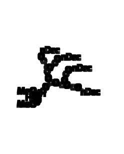 CCCCCCCCCCCCOc1ccc(CCc2ccc(COc3cc(COc4ccc(CC(NC(=O)OC)C(=O)NC(C)C(=O)OC)cc4)cc(OCc4ccc(OCc5ccc(OCCCCCCCCCCCC)cc5)c(OCc5ccc(OCCCCCCCCCCCC)cc5)c4)c3)cc2OCc2ccc(OCCCCCCCCCCCC)cc2)cc1